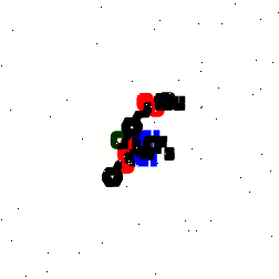 C[C@H](C(NC(=O)OCc1ccccc1)C(=O)Nc1cc(CCC(=O)OC(C)(C)C)ccc1Cl)C(F)(F)F